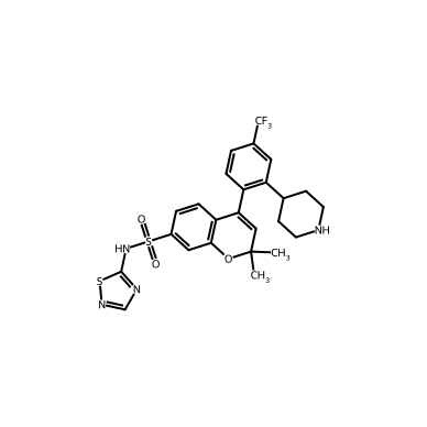 CC1(C)C=C(c2ccc(C(F)(F)F)cc2C2CCNCC2)c2ccc(S(=O)(=O)Nc3ncns3)cc2O1